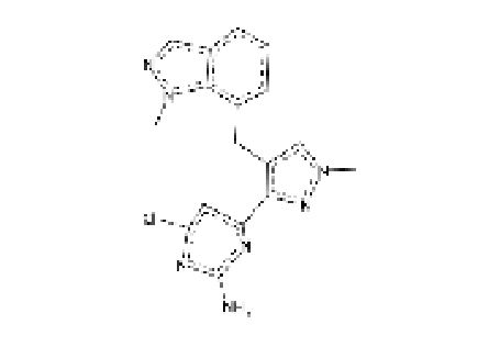 Cn1cc(Cc2cccc3cnn(C)c23)c(-c2cc(Cl)nc(N)n2)n1